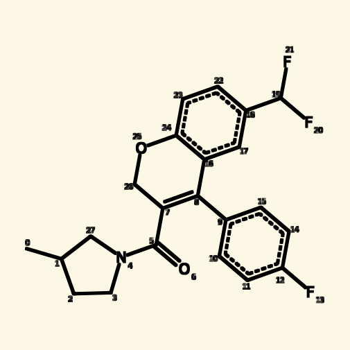 CC1CCN(C(=O)C2=C(c3ccc(F)cc3)c3cc(C(F)F)ccc3OC2)C1